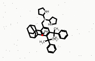 CC(C)(c1ccccc1)c1cc(CP(C2CCCN2)C2CCCN2)c(C23CC4CC(CC(C4)C2CP)C3)cc1C(C)(C)c1ccccc1